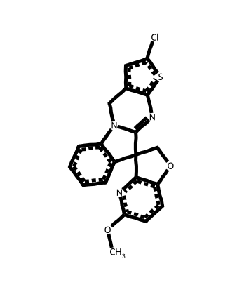 COc1ccc2c(n1)C1(CO2)C2=Nc3sc(Cl)cc3CN2c2ccccc21